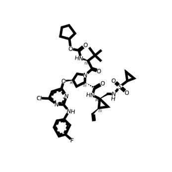 C=C[C@@H]1C[C@@]1(CNS(=O)(=O)C1CC1)NC(=O)[C@@H]1C[C@@H](Oc2cc(Cl)nc(Nc3cccc(F)c3)n2)CN1C(=O)[C@@H](NC(=O)OC1CCCC1)C(C)(C)C